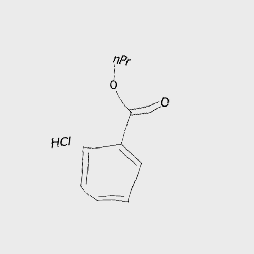 CCCOC(=O)c1ccccc1.Cl